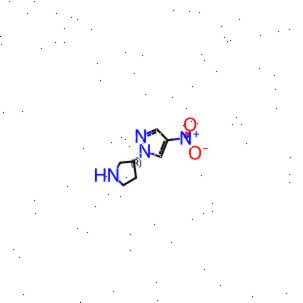 O=[N+]([O-])c1cnn([C@@H]2CCNC2)c1